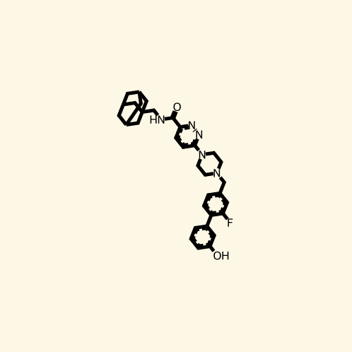 O=C(NCC12CC3CC(CC(C3)C1)C2)c1ccc(N2CCN(Cc3ccc(-c4cccc(O)c4)c(F)c3)CC2)nn1